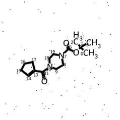 CC(C)(C)OC(=O)N1CCN(C(=O)C2=CCCC2)CC1